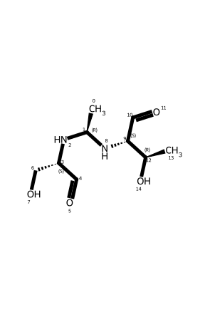 C[C@H](N[C@H](C=O)CO)N[C@H](C=O)[C@@H](C)O